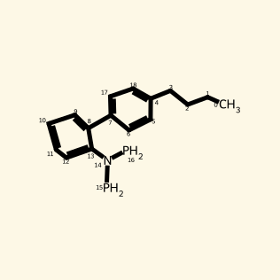 CCCCc1ccc(-c2ccccc2N(P)P)cc1